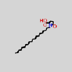 CCCCCCCCCCCCCCCCCCCCN1C(=O)CCC1C(=O)O